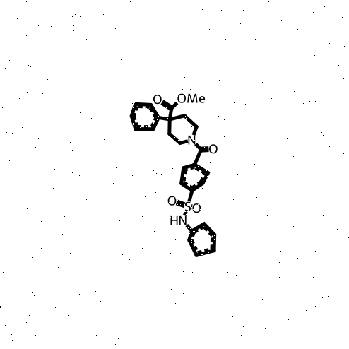 COC(=O)C1(c2ccccc2)CCN(C(=O)c2ccc(S(=O)(=O)Nc3ccccc3)cc2)CC1